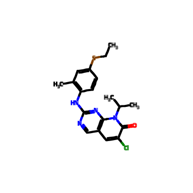 CCSc1ccc(Nc2ncc3cc(Cl)c(=O)n(C(C)C)c3n2)c(C)c1